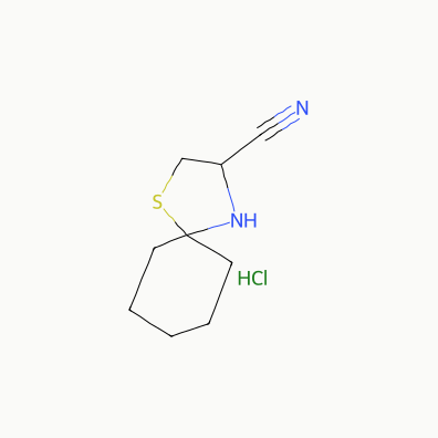 Cl.N#CC1CSC2(CCCCC2)N1